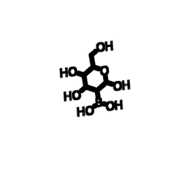 OCC1OC(O)C(B(O)O)C(O)C1O